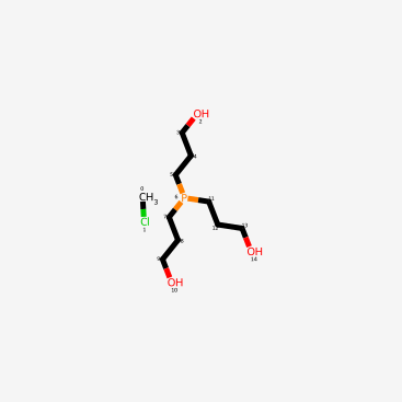 CCl.OCCCP(CCCO)CCCO